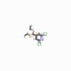 CCSC(SCC)c1cc(Cl)nc(Cl)c1